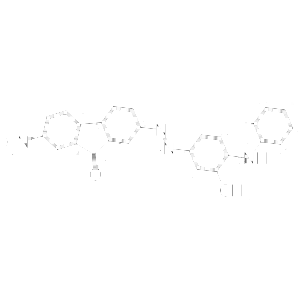 Cc1cc(N=Nc2ccc3c(c2)C(=O)c2cc([N+](=O)[O-])ccc2-3)ccc1Nc1ccccc1